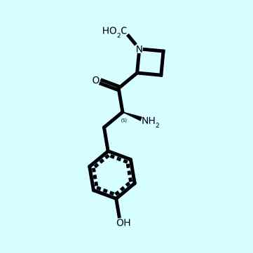 N[C@@H](Cc1ccc(O)cc1)C(=O)C1CCN1C(=O)O